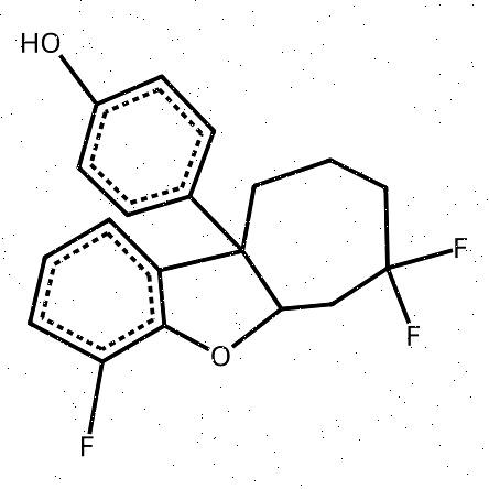 Oc1ccc(C23CCCC(F)(F)CC2Oc2c(F)cccc23)cc1